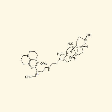 COc1c(/C(=C\C=O)CCNCCO[C@H]2CC[C@H]3[C@@H]4CC[C@H]5C[C@H](O)CC[C@]5(C)[C@H]4CC[C@]23C)cc2c3c1CCCN3CCC2